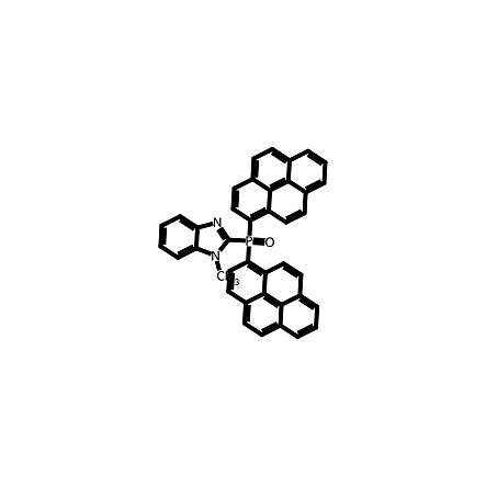 Cn1c(P(=O)(c2ccc3ccc4cccc5ccc2c3c45)c2ccc3ccc4cccc5ccc2c3c45)nc2ccccc21